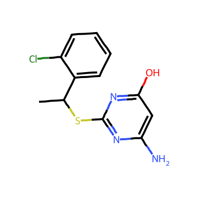 CC(Sc1nc(N)cc(O)n1)c1ccccc1Cl